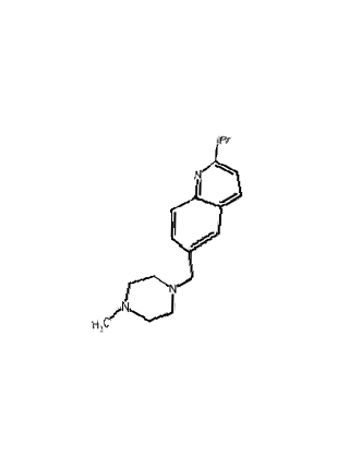 CC(C)c1ccc2cc(CN3CCN(C)CC3)ccc2n1